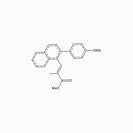 COC(=O)/C(C)=C/c1c(-c2ccc(OC)cc2)ccc2ccccc12